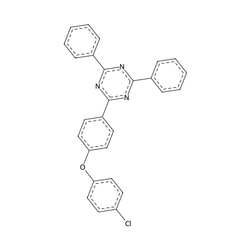 Clc1ccc(Oc2ccc(-c3nc(-c4ccccc4)nc(-c4ccccc4)n3)cc2)cc1